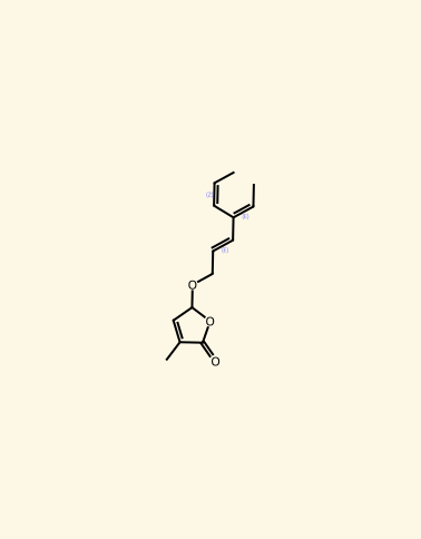 C\C=C/C(/C=C/COC1C=C(C)C(=O)O1)=C\C